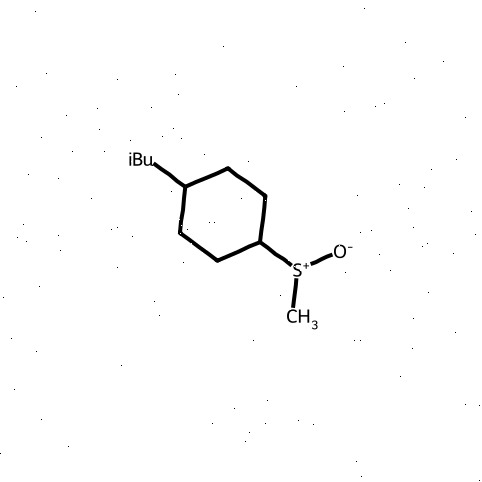 CCC(C)C1CCC([S+](C)[O-])CC1